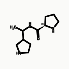 CC(NC(=O)[C@@H]1CCCN1)C1CCNC1